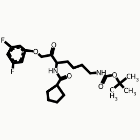 CC(C)(C)OC(=O)NCCCCC(NC(=O)C1CCCC1)C(=O)COc1cc(F)cc(F)c1